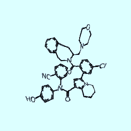 N#Cc1ccccc1N(C(=O)c1cc(-c2cc(Cl)ccc2C(=O)N2Cc3ccccc3C[C@H]2CN2CCOCC2)n2c1CCCC2)c1ccc(O)cc1